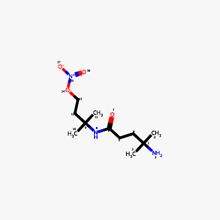 CC(C)(N)CCC(=O)NC(C)(C)CCO[N+](=O)[O-]